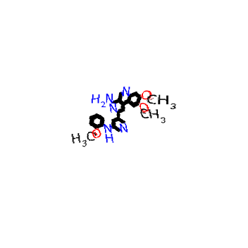 COc1ccccc1Nc1cncc(-c2cc3c(cnc4cc(OC)c(OC)cc43)c(N)n2)c1